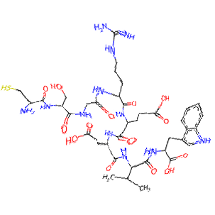 CC(C)C(NC(=O)C(CC(=O)O)NC(=O)C(CCC(=O)O)NC(=O)C(CCCNC(=N)N)NC(=O)CNC(=O)C(CO)NC(=O)C(N)CS)C(=O)NC(Cc1c[nH]c2ccccc12)C(=O)O